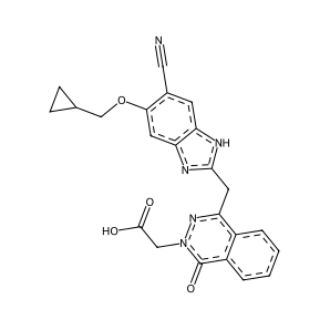 N#Cc1cc2[nH]c(Cc3nn(CC(=O)O)c(=O)c4ccccc34)nc2cc1OCC1CC1